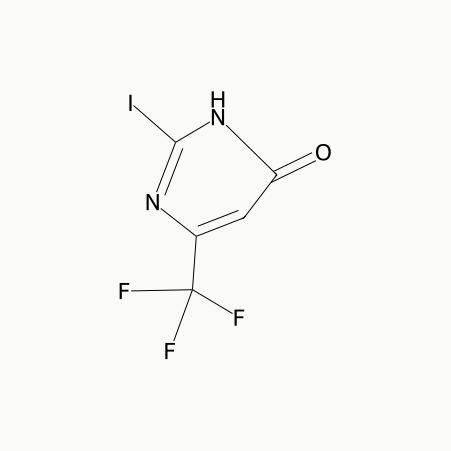 O=c1cc(C(F)(F)F)nc(I)[nH]1